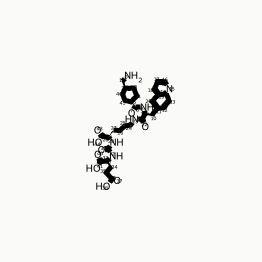 NC[C@H]1CC[C@H](C(=O)N[C@@H](Cc2ccc3ncccc3c2)C(=O)NCCCC[C@H](NC(=O)N[C@@H](CCC(=O)O)C(=O)O)C(=O)O)CC1